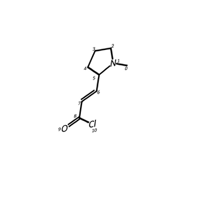 CN1CCCC1C=CC(=O)Cl